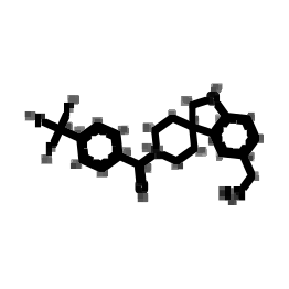 NCc1ccc2c(c1)C1(CCN(C(=O)c3ccc(C(F)(F)F)cc3)CC1)CO2